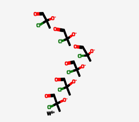 CC([O-])(Cl)C=O.CC([O-])(Cl)C=O.CC([O-])(Cl)C=O.CC([O-])(Cl)C=O.CC([O-])(Cl)C=O.CC([O-])(Cl)C=O.[W+6]